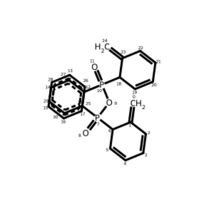 C=C1C=CC=CC1P(=O)(OP(=O)(c1ccccc1)C1C=CC=CC1=C)c1ccccc1